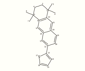 CC1(C)CCC(C)(C)c2cc3cc(-c4cccs4)ccc3cc21